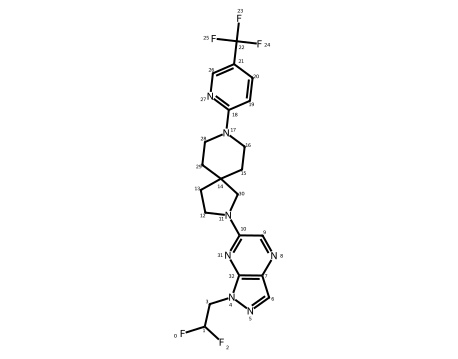 FC(F)Cn1ncc2ncc(N3CCC4(CCN(c5ccc(C(F)(F)F)cn5)CC4)C3)nc21